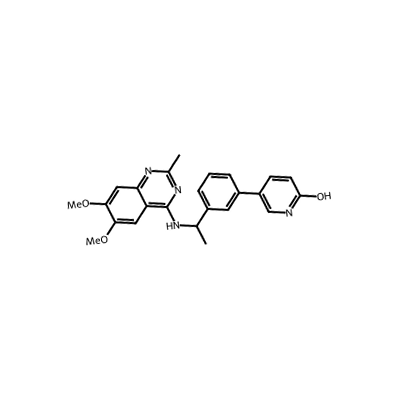 COc1cc2nc(C)nc(NC(C)c3cccc(-c4ccc(O)nc4)c3)c2cc1OC